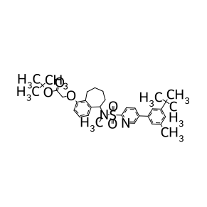 Cc1cc(-c2ccc(S(=O)(=O)N(C)C3CCCCc4c(OCC(=O)OC(C)(C)C)cccc43)nc2)cc(C(C)(C)C)c1